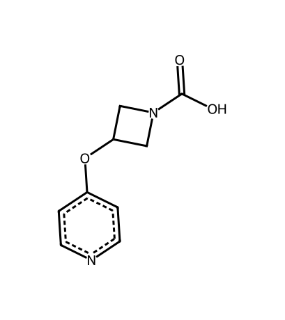 O=C(O)N1CC(Oc2ccncc2)C1